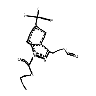 CCOC(=O)n1nc(NC=O)c2cc(C(F)(F)F)ccc21